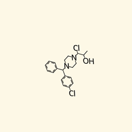 CC(O)C(Cl)N1CCN(C(c2ccccc2)c2ccc(Cl)cc2)CC1